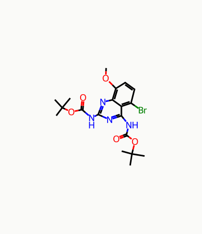 COc1ccc(Br)c2c(NC(=O)OC(C)(C)C)nc(NC(=O)OC(C)(C)C)nc12